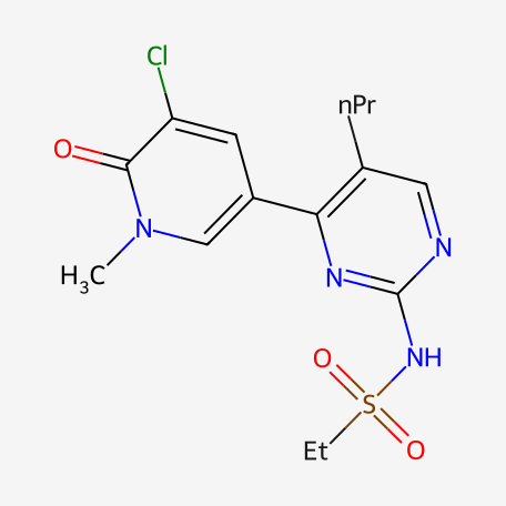 CCCc1cnc(NS(=O)(=O)CC)nc1-c1cc(Cl)c(=O)n(C)c1